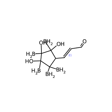 BC1(B)C(/C=C/C=O)C(B)(O)C(B)(O)C1(B)O